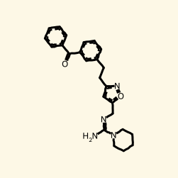 NC(=NCc1cc(CCc2cccc(C(=O)c3ccccc3)c2)no1)N1CCCCC1